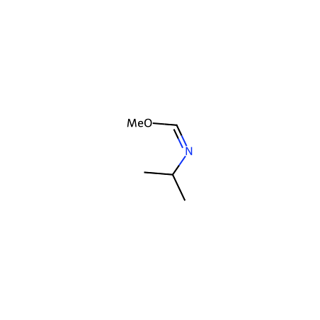 CO/C=N\C(C)C